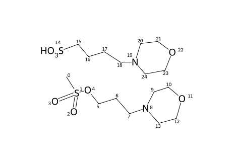 CS(=O)(=O)OCCCN1CCOCC1.O=S(=O)(O)CCCCN1CCOCC1